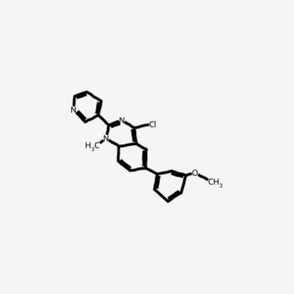 COc1cccc(C2=CC3=C(Cl)N=C(c4cccnc4)N(C)C3C=C2)c1